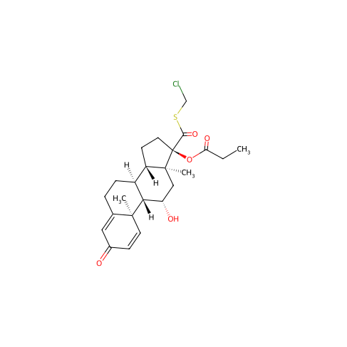 CCC(=O)O[C@]1(C(=O)SCCl)CC[C@H]2[C@@H]3CCC4=CC(=O)C=C[C@]4(C)[C@H]3[C@@H](O)C[C@@]21C